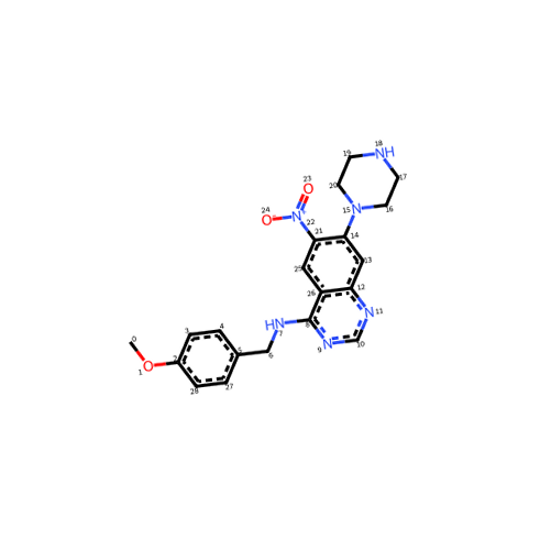 COc1ccc(CNc2ncnc3cc(N4CCNCC4)c([N+](=O)[O-])cc23)cc1